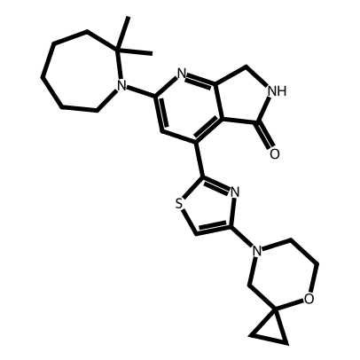 CC1(C)CCCCCN1c1cc(-c2nc(N3CCOC4(CC4)C3)cs2)c2c(n1)CNC2=O